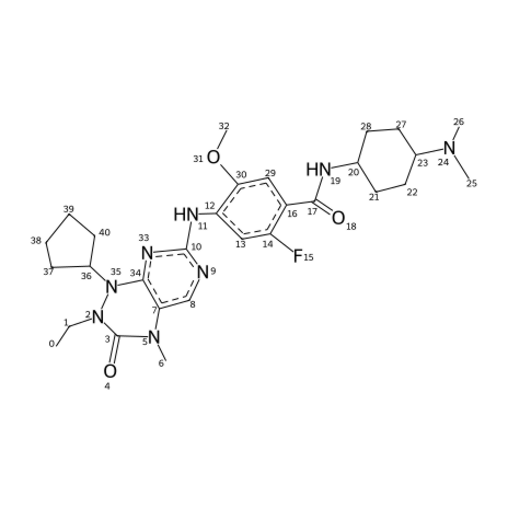 CCN1C(=O)N(C)c2cnc(Nc3cc(F)c(C(=O)NC4CCC(N(C)C)CC4)cc3OC)nc2N1C1CCCC1